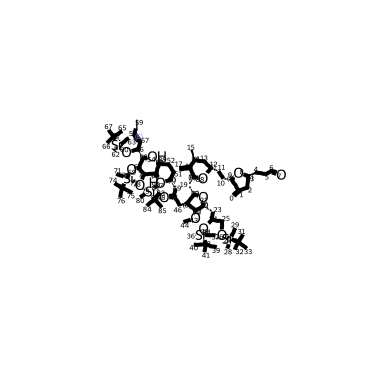 C=C1C[C@H](CCC=O)O[C@H]1CC[C@H]1C[C@H](C)C(=C)[C@@H](C[C@@H]2O[C@H](CC(CO[Si](C)(C)C(C)(C)C)O[Si](C)(C)C(C)(C)C)[C@H](OC)[C@H]2CC(=O)C[C@H]2CC[C@@H]3O[C@@H](C(/C=C/I)O[Si](C)(C)C(C)(C)C)C(O[Si](C)(C)C(C)(C)C)C(O[Si](C)(C)C(C)(C)C)[C@H]3O2)O1